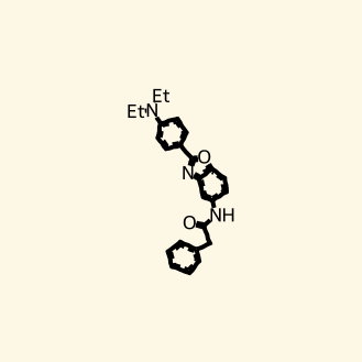 CCN(CC)c1ccc(-c2nc3cc(NC(=O)Cc4ccccc4)ccc3o2)cc1